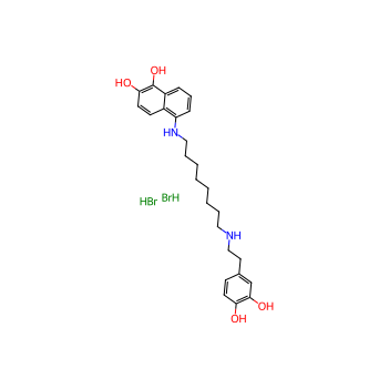 Br.Br.Oc1ccc(CCNCCCCCCCCNc2cccc3c(O)c(O)ccc23)cc1O